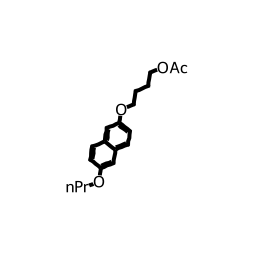 CCCOc1ccc2cc(OCCCCOC(C)=O)ccc2c1